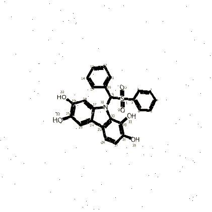 O=S(=O)(c1ccccc1)C(c1ccccc1)n1c2cc(O)c(O)cc2c2ccc(O)c(O)c21